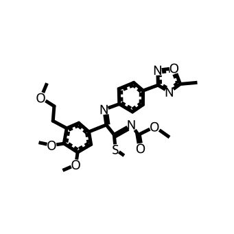 COCCc1cc(C(=Nc2ccc(-c3noc(C)n3)cc2)C(=NC(=O)OC)SC)cc(OC)c1OC